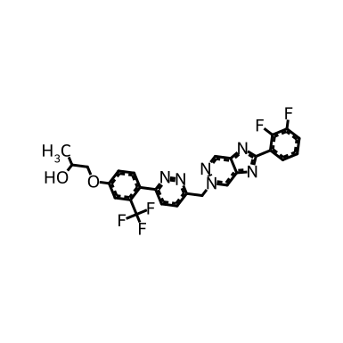 CC(O)COc1ccc(-c2ccc(Cn3cc4nc(-c5cccc(F)c5F)nc-4cn3)nn2)c(C(F)(F)F)c1